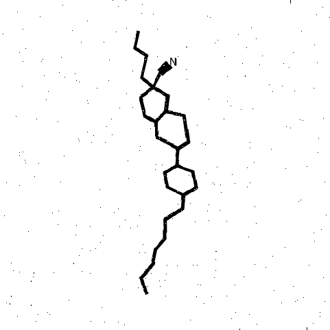 CCCCCCCC1CCC(C2CCC3CC(C#N)(CCCC)CCC3C2)CC1